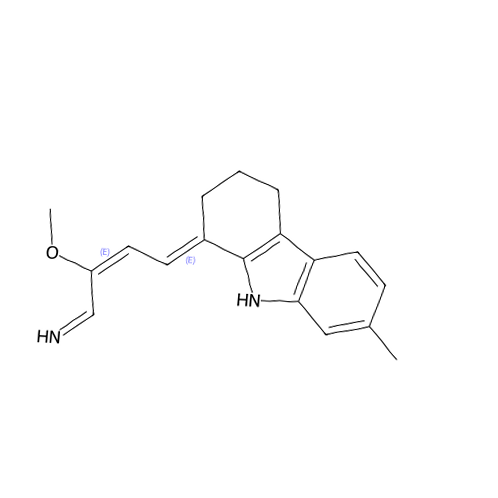 CO/C(C=N)=C/C=C1\CCCc2c1[nH]c1cc(C)ccc21